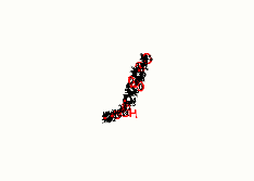 O=C(OC1CCC(c2ccc(OCC(O)COc3ccccc3)cc2)CC1)c1ccc(OCC2CO2)cc1